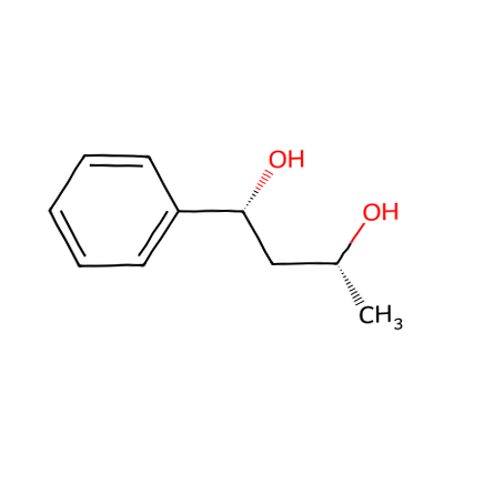 C[C@@H](O)C[C@@H](O)c1ccccc1